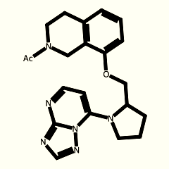 CC(=O)N1CCc2cccc(OCC3CCCN3c3ccnc4ncnn34)c2C1